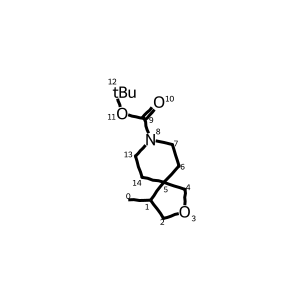 CC1COCC12CCN(C(=O)OC(C)(C)C)CC2